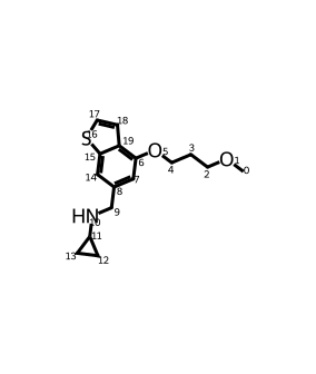 COCCCOc1cc(CNC2CC2)cc2sccc12